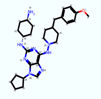 COc1ccc(CC2CCN(Nc3nc(N[C@H]4CC[C@H](N)CC4)nc4c3ncn4C3CCCC3)CC2)cc1